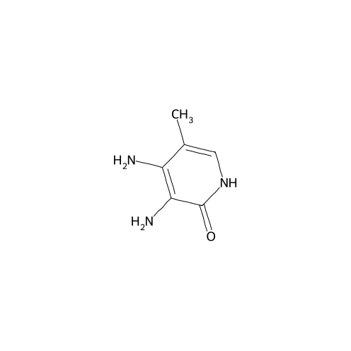 Cc1c[nH]c(=O)c(N)c1N